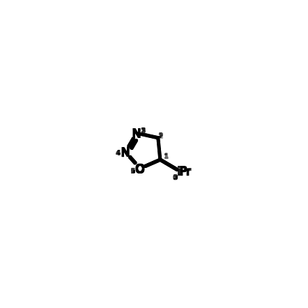 CC(C)C1CN=NO1